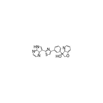 O[C@@]1(c2cccc(-c3csc(-c4c[nH]c5nccnc45)n3)c2)COc2cccnc21